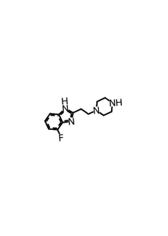 Fc1cccc2[nH]c(CCN3CCNCC3)nc12